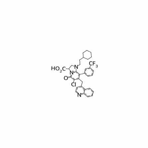 O=C(O)C1CN(CCC2CCCCC2)c2c(-c3cccc(C(F)(F)F)c3)c(Cc3ccnc4ccccc34)c(Cl)c(=O)n21